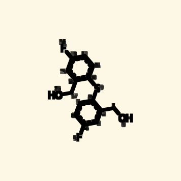 OCc1cc(F)ccc1Sc1ccc(F)cc1CO